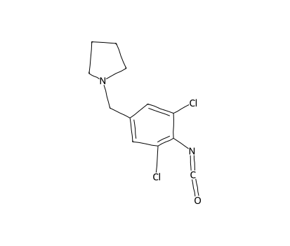 O=C=Nc1c(Cl)cc(CN2CCCC2)cc1Cl